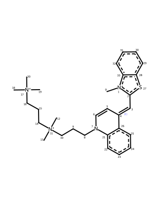 C[n+]1c(/C=C2\C=CN(CCC[N+](C)(C)CCC[N+](C)(C)C)c3ccccc32)sc2ccccc21